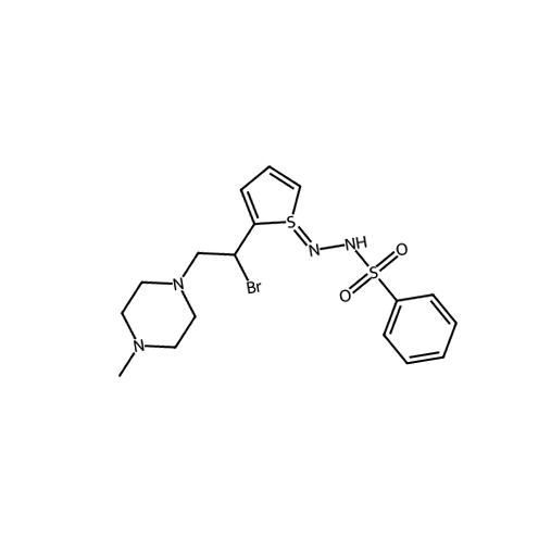 CN1CCN(CC(Br)C2=CC=CS2=NNS(=O)(=O)c2ccccc2)CC1